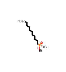 CCCCCCCCCCCCCCCCCCCCP(=O)(OCC)OCC(C)C